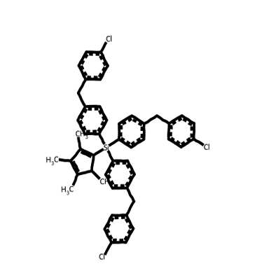 CC1=C(C)C(C)C([Si](c2ccc(Cc3ccc(Cl)cc3)cc2)(c2ccc(Cc3ccc(Cl)cc3)cc2)c2ccc(Cc3ccc(Cl)cc3)cc2)=C1C